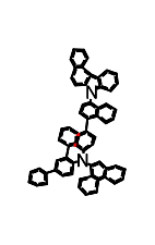 c1ccc(-c2ccc(N(c3ccc(-c4ccc(-n5c6ccccc6c6c7ccccc7ccc65)c5ccccc45)cc3)c3cc4ccccc4c4ccccc34)c(-c3ccccc3)c2)cc1